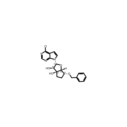 O[C@H]1[C@H](n2ccc3c(Cl)ncnc32)O[C@@H]2[C@H](OCc3ccccc3)CC[C@@]21O